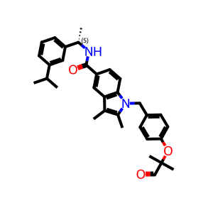 Cc1c(C)n(Cc2ccc(OC(C)(C)C=O)cc2)c2ccc(C(=O)N[C@@H](C)c3cccc(C(C)C)c3)cc12